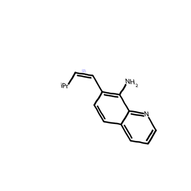 CC(C)/C=C\c1ccc2cccnc2c1N